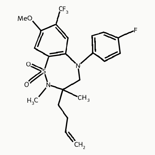 C=CCCC1(C)CN(c2ccc(F)cc2)c2cc(C(F)(F)F)c(OC)cc2S(=O)(=O)N1C